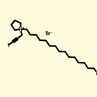 CCCCCCCCCCCCCCCC[N+]1(CC#CI)CCCC1.[Br-]